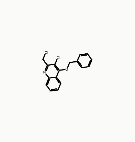 ClCc1nc2ccccc2c(OCc2ccccc2)c1Cl